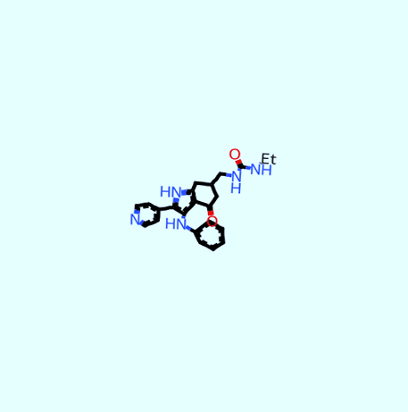 CCNC(=O)NCC1CC(=O)c2c([nH]c(-c3ccncc3)c2Nc2ccccc2)C1